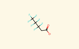 [O]C(=O)CC(F)(F)C(F)(F)C(F)(F)F